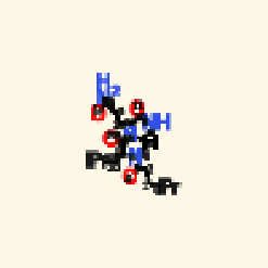 CC(C)CCC(=O)N1C[C@H]2CNC(=O)[C@H](CCC(N)=O)N2C(=O)[C@@H]1CC(C)C